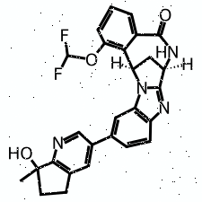 CC1(O)CCc2cc(-c3ccc4nc5n(c4c3)[C@@H]3C[C@H]5NC(=O)c4cccc(OC(F)F)c43)cnc21